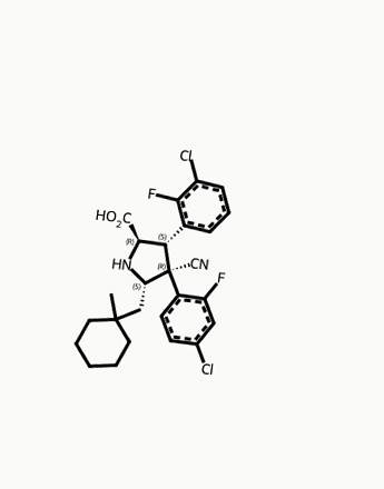 CC1(C[C@@H]2N[C@@H](C(=O)O)[C@H](c3cccc(Cl)c3F)[C@@]2(C#N)c2ccc(Cl)cc2F)CCCCC1